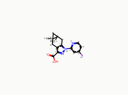 C[C@@]12Cc3c(c(C(=O)O)nn3-c3cc(I)ccn3)C[C@@H]1C2